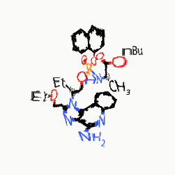 CCCCOC(=O)[C@H](C)NP(=O)(OC[C@H](CC)n1c(COCC)nc2c(N)nc3ccccc3c21)Oc1cccc2ccccc12